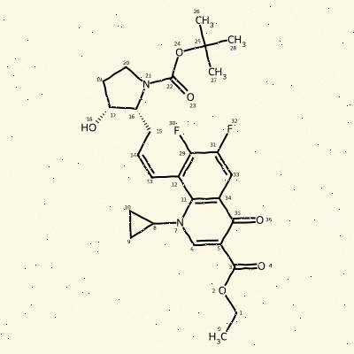 CCOC(=O)c1cn(C2CC2)c2c(/C=C\C[C@@H]3[C@H](O)CCN3C(=O)OC(C)(C)C)c(F)c(F)cc2c1=O